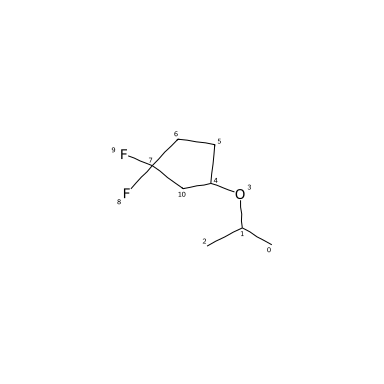 CC(C)OC1CCC(F)(F)C1